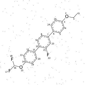 CCOc1ccc(-c2ccc(-c3ccc(OC(F)F)cc3)c(F)c2)cc1